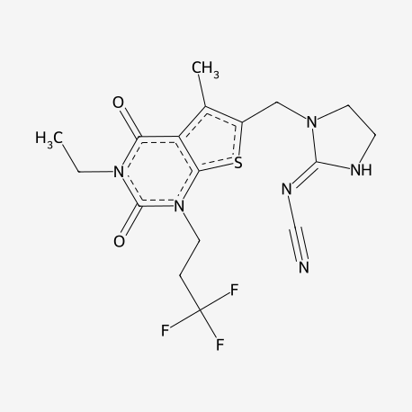 CCn1c(=O)c2c(C)c(CN3CCN/C3=N\C#N)sc2n(CCC(F)(F)F)c1=O